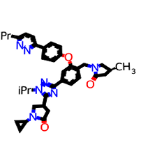 CC(C)c1ccc(-c2ccc(Oc3cc(-c4nc(C5CC(=O)N(C6CC6)C5)n(C(C)C)n4)ccc3CN3C[C@@H](C)CC3=O)cc2)nn1